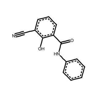 N#Cc1cccc(C(=O)Nc2ccccc2)c1O